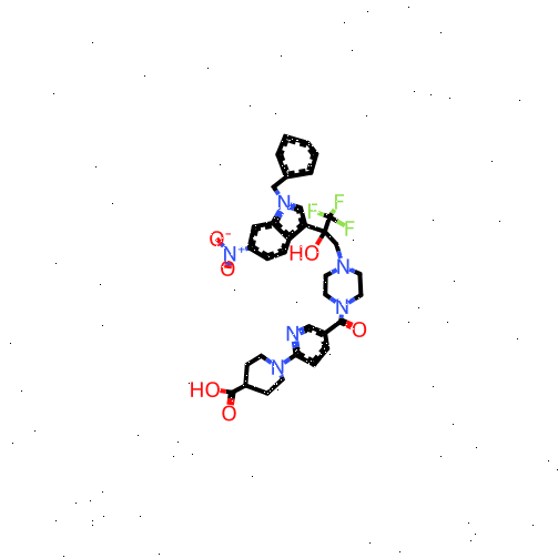 O=C(O)C1CCN(c2ccc(C(=O)N3CCN(CC(O)(c4cn(Cc5ccccc5)c5cc([N+](=O)[O-])ccc45)C(F)(F)F)CC3)cn2)CC1